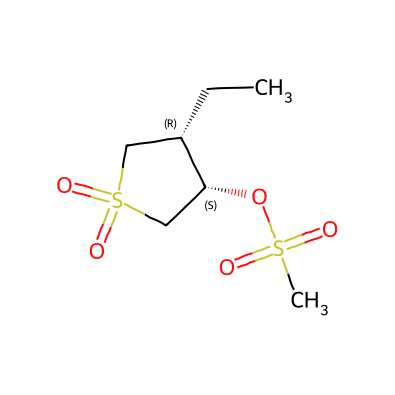 CC[C@H]1CS(=O)(=O)C[C@H]1OS(C)(=O)=O